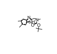 Cc1cc2nc(CN(C)C(=O)OC(C)(C)C)[nH]c2cc1C